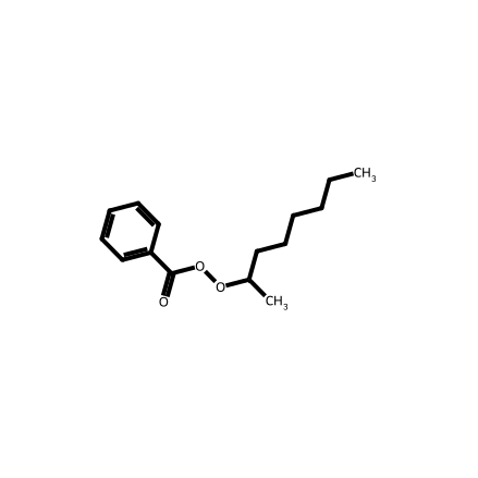 CCCCCC[C](C)OOC(=O)c1ccccc1